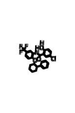 O=C(Nc1cc(C(F)(F)F)ccc1OC1CCCCC1c1ccccc1)c1cc(Cl)ccc1O